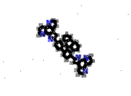 c1ccc2c(c1)-c1ccccc1C21c2cc(C3=Nc4c(c5cccnc5c5cccnc45)C3)ccc2-c2ccc(C3=Nc4c(c5cccnc5c5cccnc45)C3)cc21